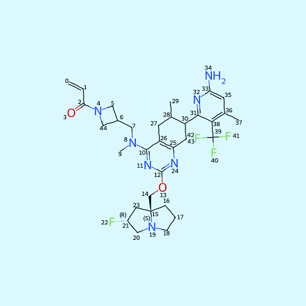 C=CC(=O)N1CC(CN(C)c2nc(OC[C@@]34CCCN3C[C@H](F)C4)nc3c2CC(C)C(c2nc(N)cc(C)c2C(F)(F)F)C3)C1